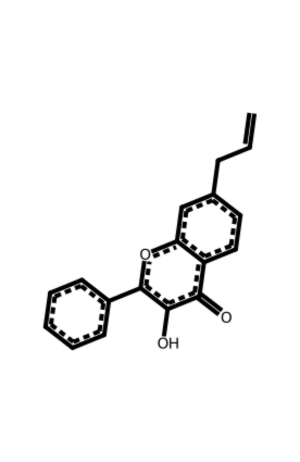 C=CCc1ccc2c(=O)c(O)c(-c3ccccc3)oc2c1